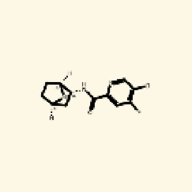 O=C(N[C@@H]1C[C@H]2CC[C@@H]1N2)c1cc(F)c(Cl)cn1